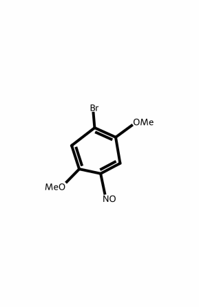 COc1cc(N=O)c(OC)cc1Br